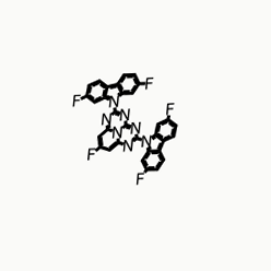 FC1=CC2=NC(n3c4cc(F)ccc4c4ccc(F)cc43)=NC3=NC(n4c5cc(F)ccc5c5ccc(F)cc54)=NC(=C1)N23